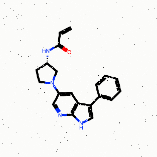 C=CC(=O)N[C@H]1CCN(c2cnc3[nH]cc(-c4ccccc4)c3c2)C1